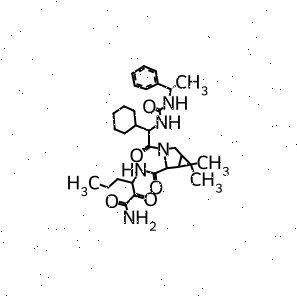 CCCC(NC(=O)C1C2C(CN1C(=O)C(NC(=O)N[C@@H](C)c1ccccc1)C1CCCCC1)C2(C)C)C(=O)C(N)=O